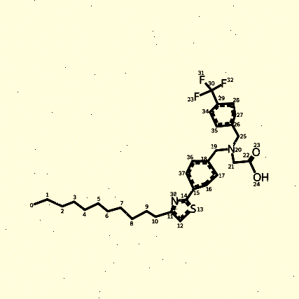 CCCCCCCCCCCc1csc(-c2ccc(CN(CC(=O)O)Cc3ccc(C(F)(F)F)cc3)cc2)n1